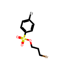 CCc1ccc(S(=O)(=O)OCCCBr)cc1